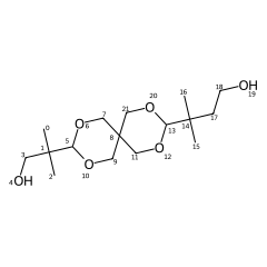 CC(C)(CO)C1OCC2(CO1)COC(C(C)(C)CCO)OC2